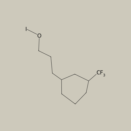 FC(F)(F)C1CCCC(CCCOI)C1